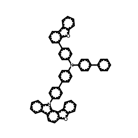 c1ccc(-c2ccc(N(c3ccc(-c4ccc(-n5c6ccccc6c6ccc7oc8ccccc8c7c65)cc4)cc3)c3ccc(-c4cccc5c4oc4ccccc45)cc3)cc2)cc1